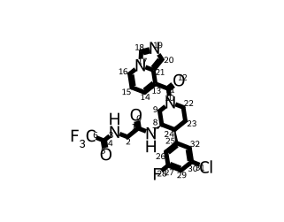 O=C(CNC(=O)C(F)(F)F)N[C@@H]1CN(C(=O)c2cccn3cncc23)CC[C@H]1c1cc(F)cc(Cl)c1